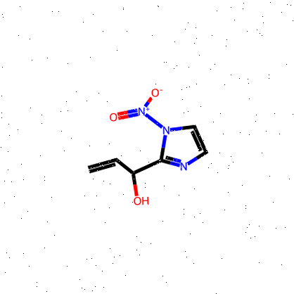 C=CC(O)c1nccn1[N+](=O)[O-]